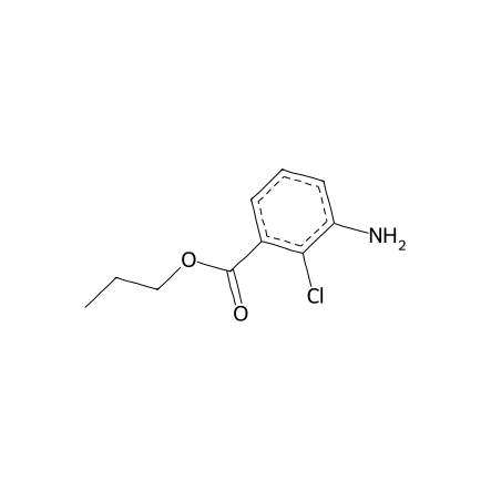 CCCOC(=O)c1cccc(N)c1Cl